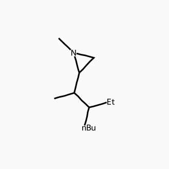 CCCCC(CC)C(C)C1CN1C